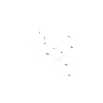 CCCC1(CCC)CC(O)=C(C(CC)N(c2ccccc2)S(=O)(=O)c2ccccc2)C(=O)O1